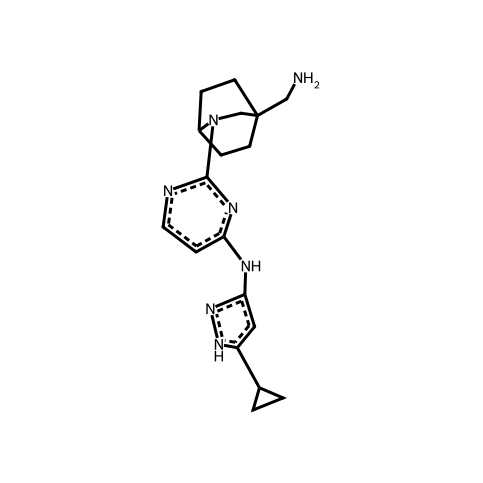 NCC12CCC(CC1)N(c1nccc(Nc3cc(C4CC4)[nH]n3)n1)C2